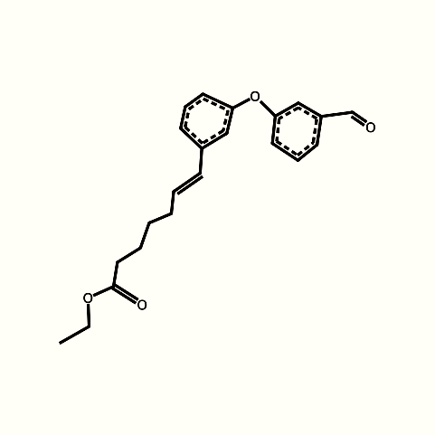 CCOC(=O)CCCCC=Cc1cccc(Oc2cccc(C=O)c2)c1